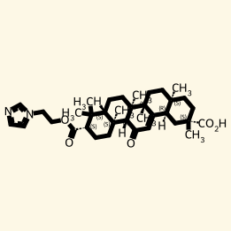 CC1(C)[C@@H](C(=O)OCCn2ccnc2)CC[C@]2(C)[C@H]3C(=O)C=C4[C@@H]5C[C@@](C)(C(=O)O)CC[C@]5(C)CC[C@@]4(C)[C@]3(C)CC[C@@H]12